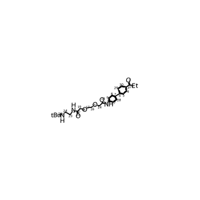 CCC(=O)c1ccc(-c2ccc(NC(=O)COCCOCC(=O)NCCNC(C)(C)C)cc2)cc1